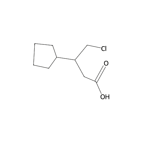 O=C(O)CC(CCl)C1CCCC1